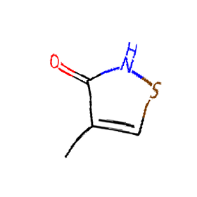 Cc1cs[nH]c1=O